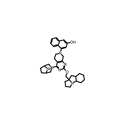 Oc1cc(N2CCc3c(nc(OCC45CCCN4C4CCCCC4C5)nc3N3CC4CCC(C3)N4)C2)c2ccccc2c1